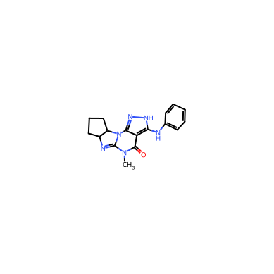 CN1C(=O)c2c(n[nH]c2Nc2ccccc2)N2C1=NC1CCCC12